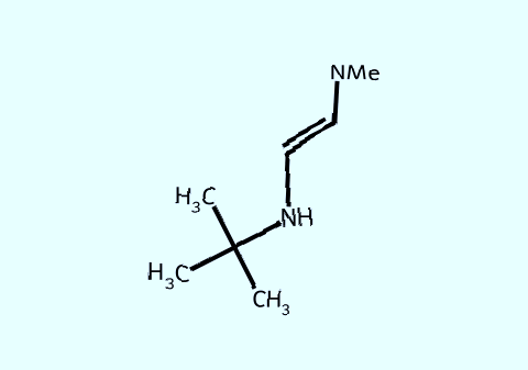 CNC=CNC(C)(C)C